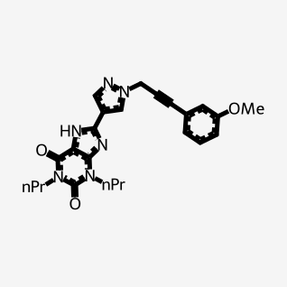 CCCn1c(=O)c2[nH]c(-c3cnn(CC#Cc4cccc(OC)c4)c3)nc2n(CCC)c1=O